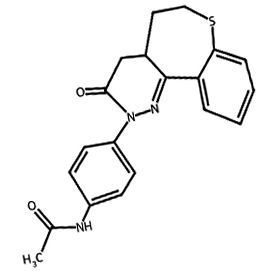 CC(=O)Nc1ccc(N2N=C3c4ccccc4SCCC3CC2=O)cc1